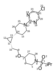 CC(C)S(=O)(=O)N1CCC(OCC[C@@H]2C[C@@H]2C2CCN(c3ncc(Cl)cn3)CC2)CC1